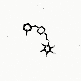 Cc1cccc(CN2CCN(CCOc3c(F)c(C)c(F)c(N)c3F)CC2)c1